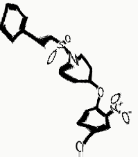 O=[N+]([O-])c1cc(Cl)ccc1OC1CCN(S(=O)(=O)C[CH]c2ccccc2)CC1